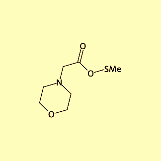 CSOC(=O)CN1CCOCC1